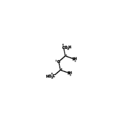 O=C(O)C(S)OC(S)C(=O)O